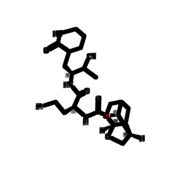 CC(C)CC[C@H](NC(=O)O[C@@H]1C2CO[C@@H]3OC[C@H]1C3C2)C(=O)N[C@@H](CC1CCCNC1=O)C(C)C#N